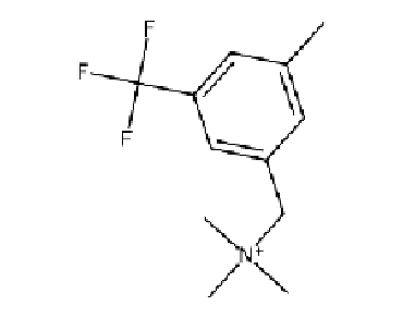 Cc1cc(C[N+](C)(C)C)cc(C(F)(F)F)c1